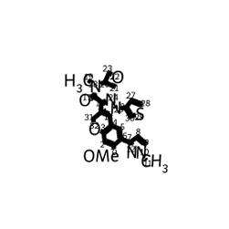 COc1cc2c(cc1-c1ccn(C)n1)-c1c(c(C(=O)N(C)C3COC3)nn1-c1ccsc1)CO2